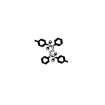 Cc1ccc(S(=O)(=O)N(SSN(c2ccccc2)S(=O)(=O)c2ccc(C)cc2)c2ccccc2)cc1